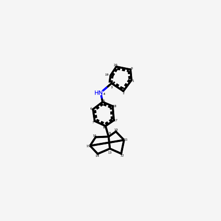 c1ccc(Nc2ccc(C34CC5CC3CC5C4)cc2)cc1